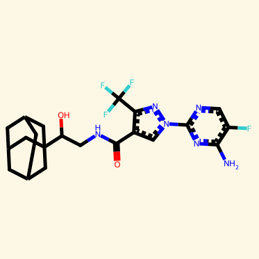 Nc1nc(-n2cc(C(=O)NCC(O)C34CC5CC(CC(C5)C3)C4)c(C(F)(F)F)n2)ncc1F